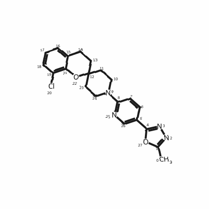 Cc1nnc(-c2ccc(N3CCC4(CCc5cccc(Cl)c5O4)CC3)nc2)o1